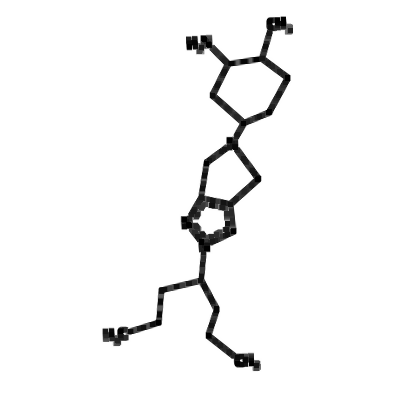 CCCC(CCC)n1cc2c(n1)CN(C1CCC(C)C(N)C1)C2